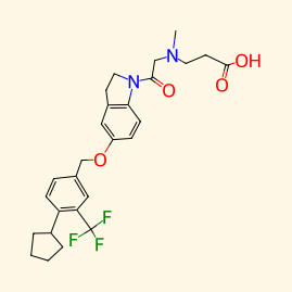 CN(CCC(=O)O)CC(=O)N1CCc2cc(OCc3ccc(C4CCCC4)c(C(F)(F)F)c3)ccc21